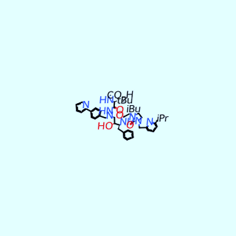 CC[C@H](C)[C@@H](C(=O)N[C@@H](Cc1ccccc1)[C@@H](O)CN(Cc1ccc(-c2ccccn2)cc1)NC(=O)[C@@H](NC(=O)O)C(C)(C)C)N1CCN(Cc2cccc(C(C)C)n2)C1=O